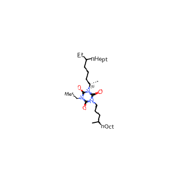 CCCCCCCCC(C)CCCn1c(=O)n(CSC)c(=O)n([C@@H](C)CCCC(CC)CCCCCCC)c1=O